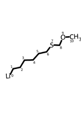 [Li][CH2]CCCCCSCOC